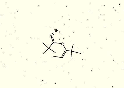 C/C=C(\O/C(=N\N)C(C)(C)C)C(C)(C)C